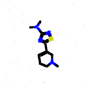 CN1CCC=C(c2nc(N(C)C)ns2)C1